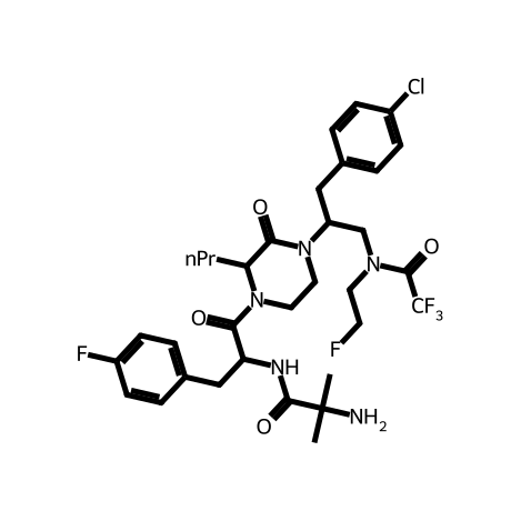 CCCC1C(=O)N(C(Cc2ccc(Cl)cc2)CN(CCF)C(=O)C(F)(F)F)CCN1C(=O)C(Cc1ccc(F)cc1)NC(=O)C(C)(C)N